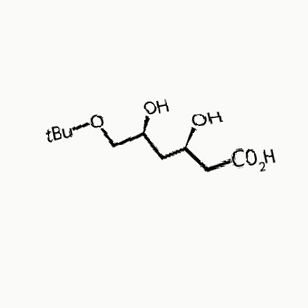 CC(C)(C)OC[C@@H](O)C[C@@H](O)CC(=O)O